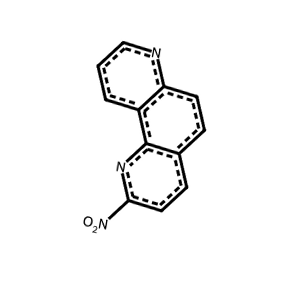 O=[N+]([O-])c1ccc2ccc3ncccc3c2n1